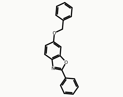 c1ccc(COc2ccc3nc(-c4ccccc4)oc3c2)cc1